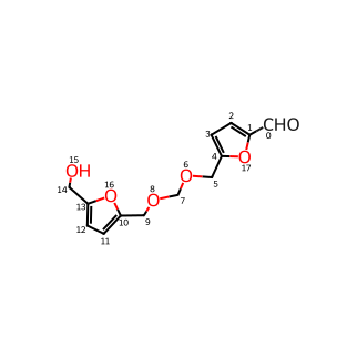 O=Cc1ccc(COCOCc2ccc(CO)o2)o1